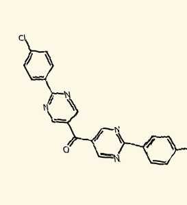 O=C(c1cnc(-c2ccc(Cl)cc2)nc1)c1cnc(-c2ccc(Cl)cc2)nc1